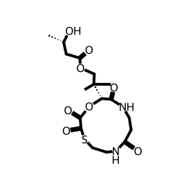 C[C@H](O)CC(=O)OCC(C)(C)[C@H]1OC(=O)C(=O)SCCNC(=O)CCNC1=O